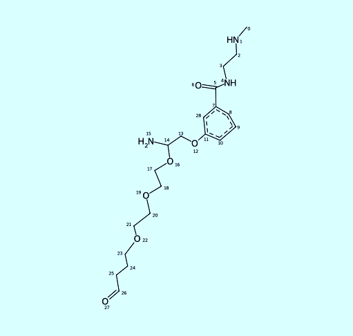 CNCCNC(=O)c1cccc(OCC(N)OCCOCCOCCCC=O)c1